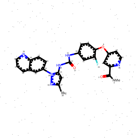 CNC(=O)c1cc(Oc2ccc(NC(=O)Nc3cc(C(C)(C)C)nn3-c3ccc4ncccc4c3)cc2F)ccn1